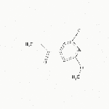 CCC(=O)c1cc(Cl)nc(OC)c1